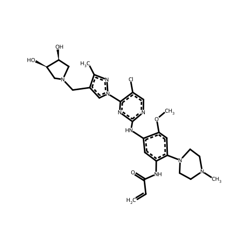 C=CC(=O)Nc1cc(Nc2ncc(Cl)c(-n3cc(CN4C[C@@H](O)[C@@H](O)C4)c(C)n3)n2)c(OC)cc1N1CCN(C)CC1